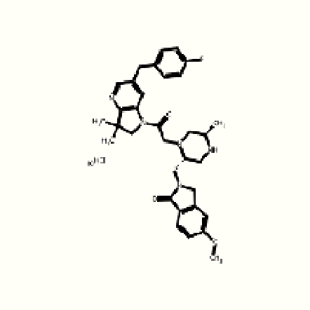 COc1ccc2c(c1)CN(C[C@H]1CN[C@H](C)CN1CC(=O)N1CC(C)(C)c3ncc(Cc4ccc(F)cc4)cc31)C2=O.Cl.Cl